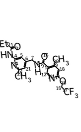 CCC(=O)Nc1cc(CNC(=O)c2cnc(OCC(F)(F)F)cc2C)cc(C)n1